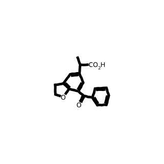 CC(C(=O)O)c1cc2c(c(C(=O)c3ccccc3)c1)OCC2